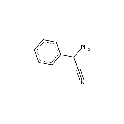 N#CC(P)c1ccccc1